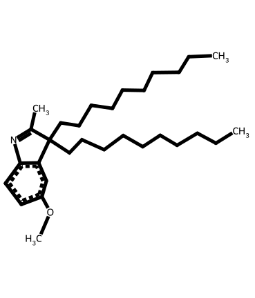 CCCCCCCCCCC1(CCCCCCCCCC)C(C)=Nc2ccc(OC)cc21